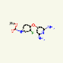 CC(C)(C)OC(=O)Nc1ccc(Oc2cc(N)nc(N)c2)c(F)c1